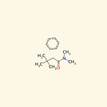 CN(C)C(=O)CC(C)(C)C.c1ccccc1